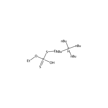 CCCC[PH](CCCC)(CCCC)CCCC.CCOP(O)(=S)SCC